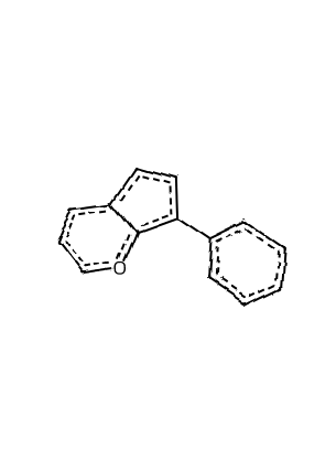 [c]1ccccc1-c1ccc2cccoc1-2